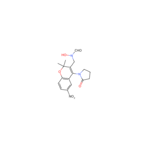 CC1(C)Oc2ccc([N+](=O)[O-])cc2C(N2CCCC2=O)=C1CN(O)C=O